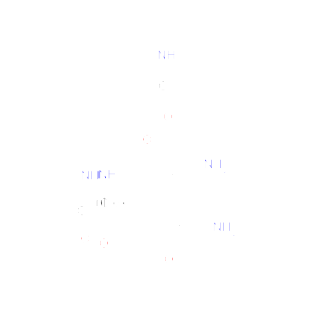 CCCCCCC(C(N)=O)C(N)=O.N=C=O.N=C=O.N=C=O